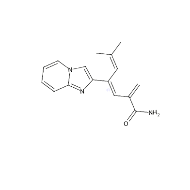 C=C(/C=C(\C=C(C)C)c1cn2ccccc2n1)C(N)=O